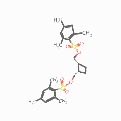 Cc1cc(C)c(S(=O)(=O)OC[C@H]2CC[C@H]2COS(=O)(=O)c2c(C)cc(C)cc2C)c(C)c1